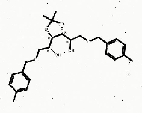 Cc1ccc(COC[C@@H](O)[C@H]2OC(C)(C)O[C@@H]2[C@H](O)COCc2ccc(C)cc2)cc1